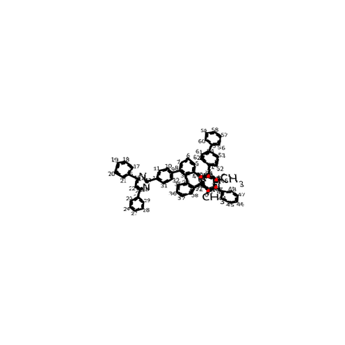 Cc1cc(-c2cccc(-c3ccc(-c4nc(-c5ccccc5)cc(-c5ccccc5)n4)cc3)c2-c2ccccc2-c2cc(-c3ccccc3)nc(-c3ccc(-c4ccccc4)cc3)n2)cc(C)n1